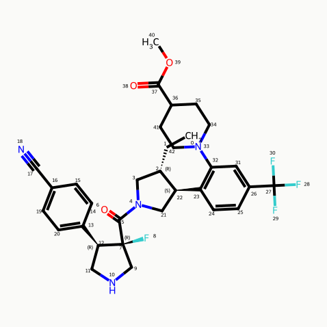 CC[C@H]1CN(C(=O)[C@]2(F)CNC[C@H]2c2ccc(C#N)cc2)C[C@@H]1c1ccc(C(F)(F)F)cc1N1CCC(C(=O)OC)CC1